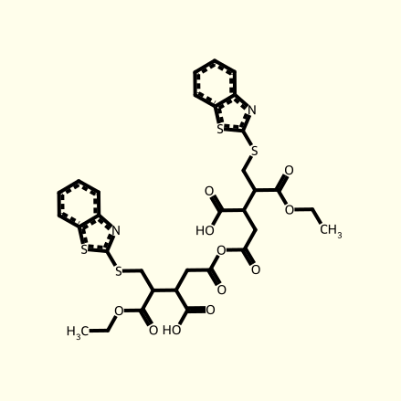 CCOC(=O)C(CSc1nc2ccccc2s1)C(CC(=O)OC(=O)CC(C(=O)O)C(CSc1nc2ccccc2s1)C(=O)OCC)C(=O)O